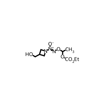 CCOC(=O)OC(C)ON=[N+]([O-])N1CC(CO)C1